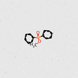 COP(=O)(c1cc[c]cc1)c1ccccc1